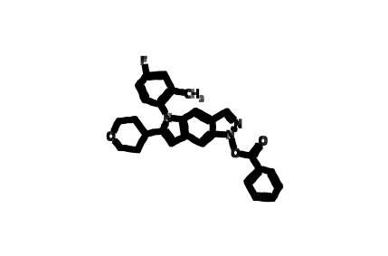 Cc1cc(F)ccc1-n1c(C2CCOCC2)cc2cc3c(cnn3OC(=O)c3ccccc3)cc21